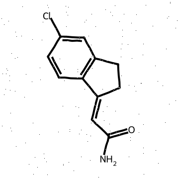 NC(=O)/C=C1\CCc2cc(Cl)ccc21